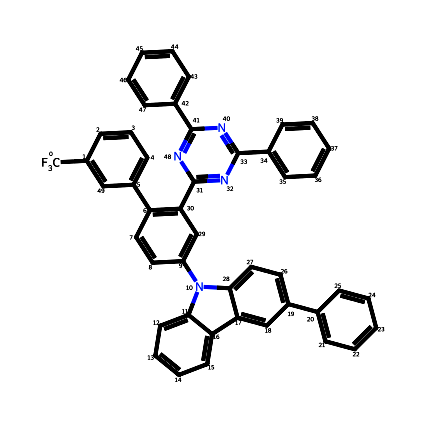 FC(F)(F)c1cccc(-c2ccc(-n3c4ccccc4c4cc(-c5ccccc5)ccc43)cc2-c2nc(-c3ccccc3)nc(-c3ccccc3)n2)c1